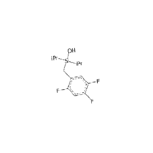 CC(C)[Si](O)(Cc1cc(F)c(F)cc1F)C(C)C